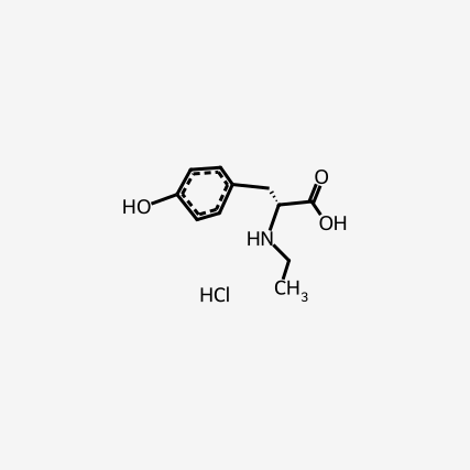 CCN[C@H](Cc1ccc(O)cc1)C(=O)O.Cl